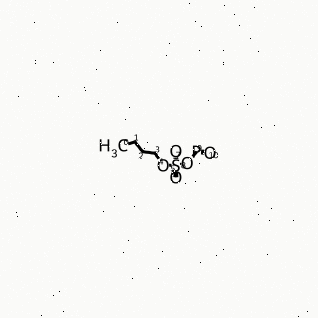 CCCCOS(=O)(=O)OP=O